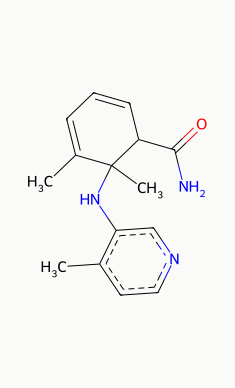 CC1=CC=CC(C(N)=O)C1(C)Nc1cnccc1C